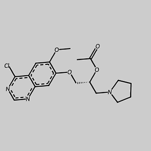 COc1cc2c(Cl)ncnc2cc1OC[C@@H](CN1CCCC1)OC(C)=O